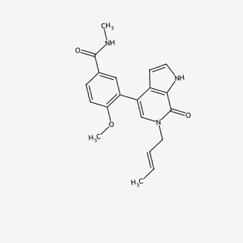 CC=CCn1cc(-c2cc(C(=O)NC)ccc2OC)c2cc[nH]c2c1=O